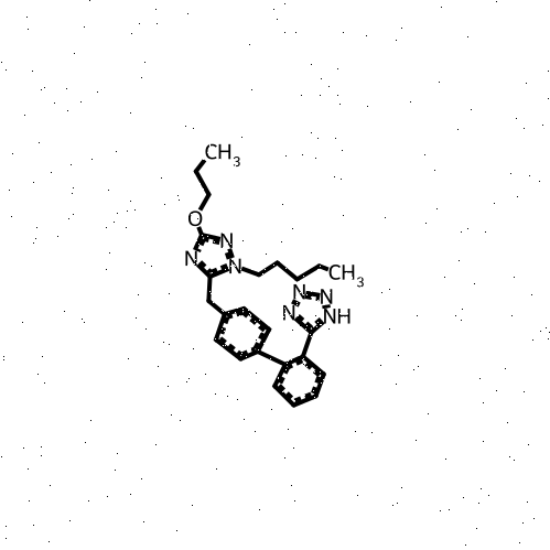 CCCCCn1nc(OCCC)nc1Cc1ccc(-c2ccccc2-c2nnn[nH]2)cc1